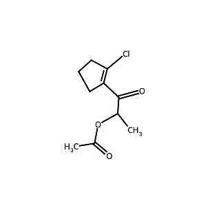 CC(=O)OC(C)C(=O)C1=C(Cl)CCC1